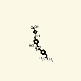 CC(C)Cc1ccc(-c2noc(-c3ccc(CN[C@H]4C[C@@H](C(=O)O)C4)cc3)n2)cc1.Cl